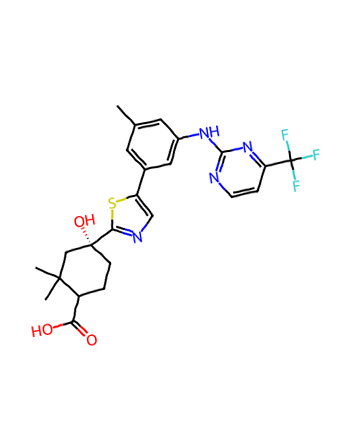 Cc1cc(Nc2nccc(C(F)(F)F)n2)cc(-c2cnc([C@@]3(O)CCC(C(=O)O)C(C)(C)C3)s2)c1